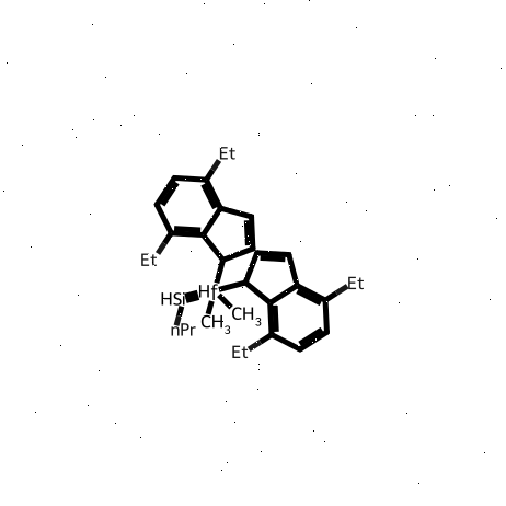 CCC[SiH]=[Hf]([CH3])([CH3])([CH]1C=Cc2c(CC)ccc(CC)c21)[CH]1C=Cc2c(CC)ccc(CC)c21